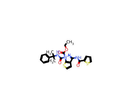 CCOC(=O)[N+]1(C(=O)NC(C)(C)c2ccccc2)N=C(NC(=O)c2cccs2)c2ccsc21